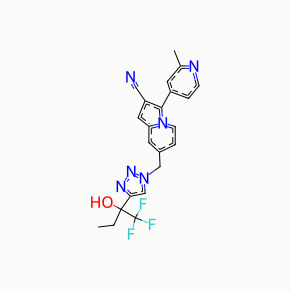 CCC(O)(c1cn(Cc2ccn3c(-c4ccnc(C)c4)c(C#N)cc3c2)nn1)C(F)(F)F